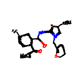 COC(=O)c1ccc(C(F)(F)F)cc1C(=O)N=c1sc(C(C)(C)C)cn1C[C@H]1CCCO1